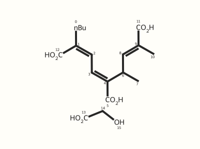 CCCCC(=CC=C(C(=O)O)C(C)C=C(C)C(=O)O)C(=O)O.O=C(O)CO